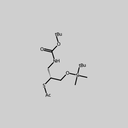 CC(=O)S[C@H](CNC(=O)OC(C)(C)C)CO[Si](C)(C)C(C)(C)C